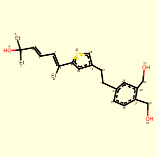 CC/C(=C\C=C\C(O)(CC)CC)c1cc(CCc2ccc(CO)c(CO)c2)cs1